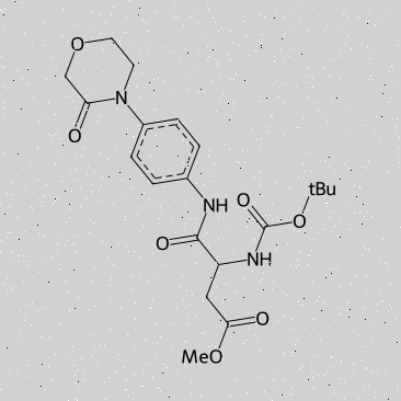 COC(=O)CC(NC(=O)OC(C)(C)C)C(=O)Nc1ccc(N2CCOCC2=O)cc1